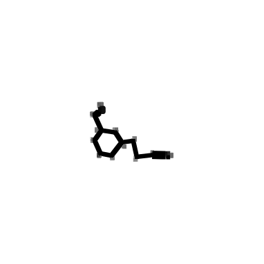 N#CCCC1CCCC(C=O)C1